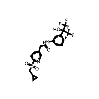 O=C(Cc1ccc(S(=O)(=O)CC2CC2)nc1)Nc1cccc(C(O)(C(F)(F)F)C(F)(F)F)c1